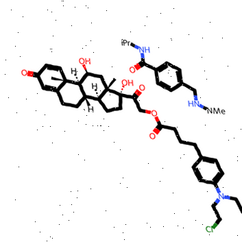 CNNCc1ccc(C(=O)NC(C)C)cc1.C[C@]12C=CC(=O)C=C1CC[C@@H]1[C@@H]2[C@@H](O)C[C@@]2(C)[C@H]1CC[C@]2(O)C(=O)COC(=O)CCCc1ccc(N(CCCl)CCCl)cc1